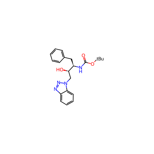 CC(C)(C)OC(=O)N[C@H](Cc1ccccc1)[C@H](O)Cn1nnc2ccccc21